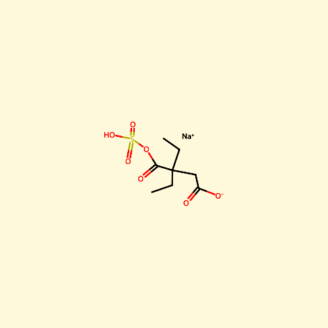 CCC(CC)(CC(=O)[O-])C(=O)OS(=O)(=O)O.[Na+]